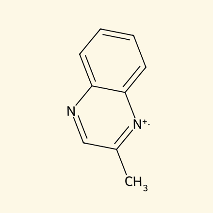 CC1=[N+]c2ccccc2N=C1